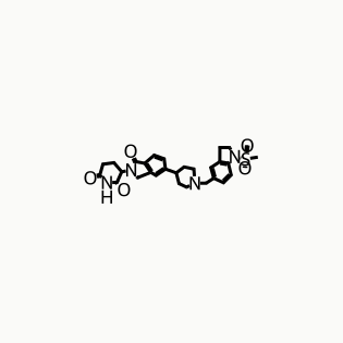 CS(=O)(=O)N1CCc2cc(CN3CCC(c4ccc5c(c4)CN(C4CCC(=O)NC4=O)C5=O)CC3)ccc21